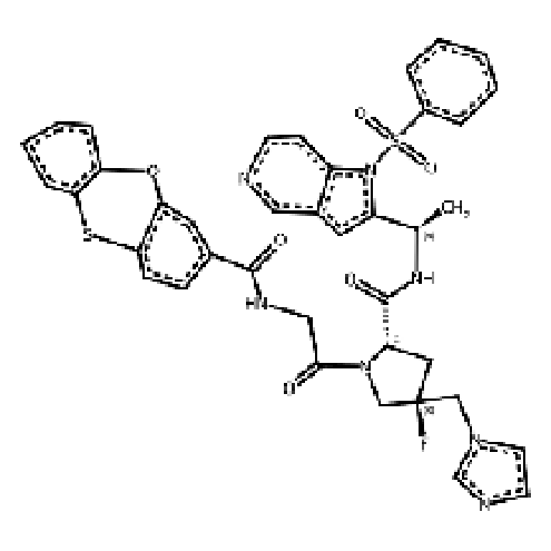 C[C@@H](NC(=O)[C@@H]1C[C@](F)(Cn2ccnc2)CN1C(=O)CNC(=O)c1ccc2c(c1)Oc1ccccc1S2)c1cc2cnccc2n1S(=O)(=O)c1ccccc1